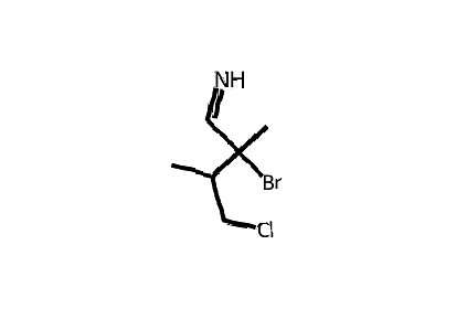 CC(CCl)C(C)(Br)C=N